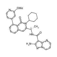 COc1cc(-c2cccc3cc([C@H](C)NC(=O)c4c(N)nn5cccnc45)n(C4CCCCC4)c(=O)c23)ccn1